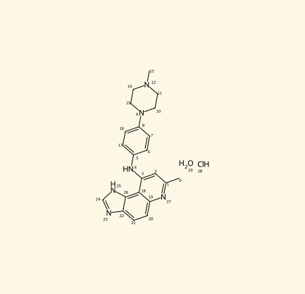 Cc1cc(Nc2ccc(N3CCN(C)CC3)cc2)c2c(ccc3nc[nH]c32)n1.Cl.O